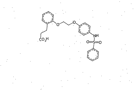 O=C(O)CCc1ccccc1OCCOc1ccc(NS(=O)(=O)c2ccccc2)cc1